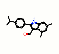 Cc1cc(C)c2c(C=O)c(-c3ccc(C(C)C)cc3)[nH]c2c1